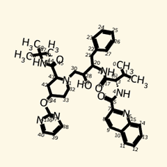 CC(C)[C@H](NC(=O)c1ccc2ccccc2n1)C(=O)NC(Cc1ccccc1)C(O)CN1CCC(Oc2ncccn2)CC1C(=O)NC(C)(C)C